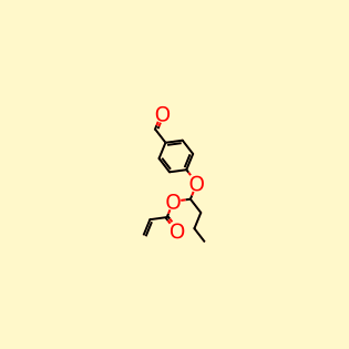 C=CC(=O)OC(CCC)Oc1ccc(C=O)cc1